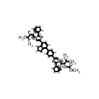 COC(=O)N[C@H](C(=O)N1CC2CCC1(c1nc(-c3ccc(-c4ccc(-c5c[nH]c(C67CCC(CN6C(=O)[C@@H](I)C(C)C)C7)n5)c5c4CCC5)cc3)c[nH]1)C2)C(C)C